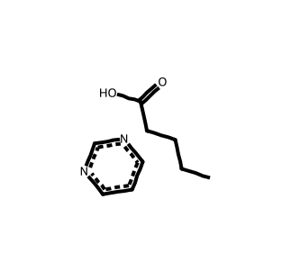 CCCCC(=O)O.c1cncnc1